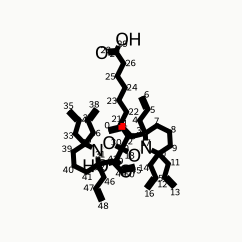 C=CCC1(CC=C)CCCC(CC=C)(CC=C)N1OC(CCCCCCCC(=O)O)(ON1C(CC=C)(CC=C)CCCC1(CC=C)CC=C)C(=O)O